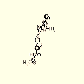 C[S@@+]([O-])CCNC(=O)c1ccc(N2CCN(CCn3cnc4c3nc(N)n3nc(-c5ccco5)nc43)CC2)c(F)c1